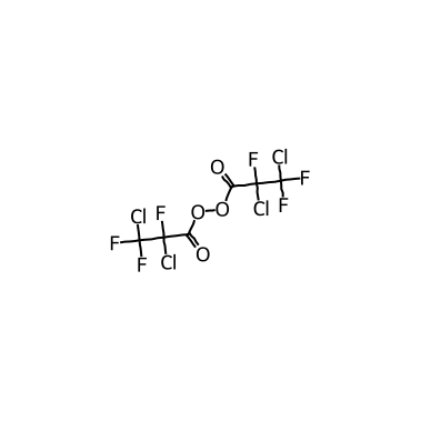 O=C(OOC(=O)C(F)(Cl)C(F)(F)Cl)C(F)(Cl)C(F)(F)Cl